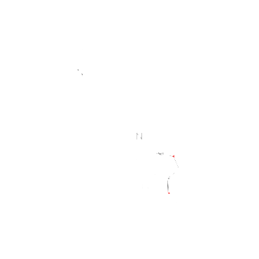 c1cc(-c2ccc3ccccc3c2)cc(N(c2ccc(-c3ccccc3-c3ccccc3-n3c4ccccc4c4ccccc43)cc2)c2ccccc2-c2cccc3c2oc2ccccc23)c1